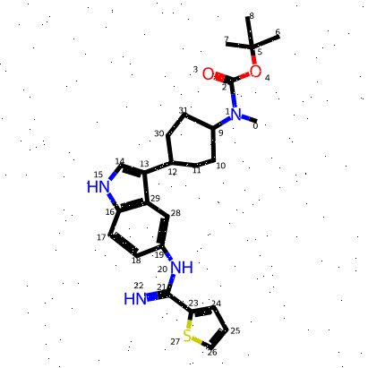 CN(C(=O)OC(C)(C)C)C1CCC(c2c[nH]c3ccc(NC(=N)c4cccs4)cc23)CC1